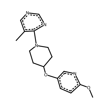 COc1ccc(OC2CCN(c3ncncc3C)CC2)cn1